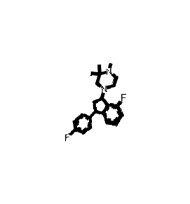 CN1CCN(C2CC(c3ccc(F)cc3)c3cccc(F)c32)CC1(C)C